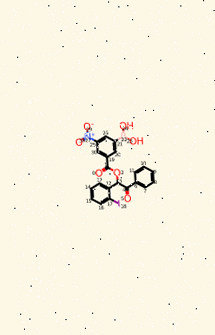 O=C(OC(C(=O)c1ccccc1)c1ccccc1I)c1cc(B(O)O)cc([N+](=O)[O-])c1